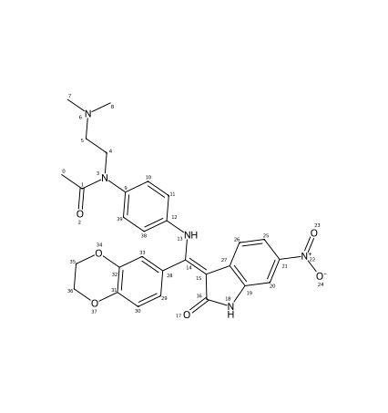 CC(=O)N(CCN(C)C)c1ccc(NC(=C2C(=O)Nc3cc([N+](=O)[O-])ccc32)c2ccc3c(c2)OCCO3)cc1